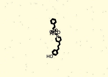 O=C(NS(=O)(=O)C=Cc1ccccc1)N1CCC(CCCc2ccc(O)cc2)CC1